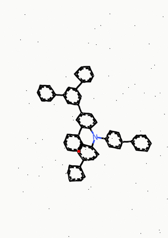 c1ccc(-c2ccc(N(c3ccc(-c4ccccc4)cc3)c3ccc(-c4cc(-c5ccccc5)cc(-c5ccccc5)c4)cc3-c3ccccc3)cc2)cc1